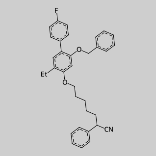 CCc1cc(-c2ccc(F)cc2)c(OCc2ccccc2)cc1OCCCCCC(C#N)c1ccccc1